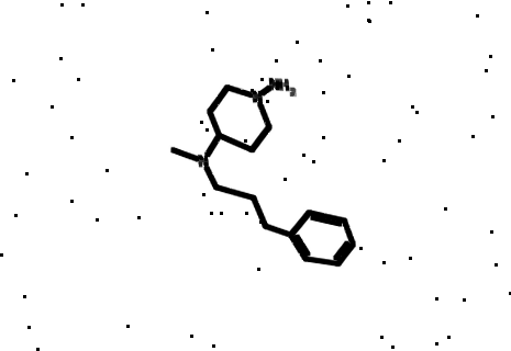 CN(CCCc1ccccc1)C1CCN(N)CC1